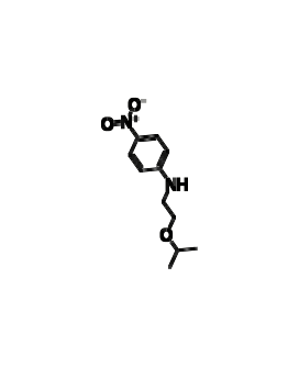 CC(C)OCCNc1ccc([N+](=O)[O-])cc1